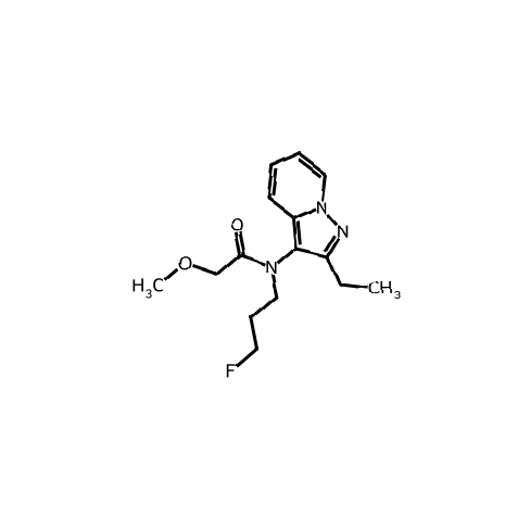 CCc1nn2ccccc2c1N(CCCF)C(=O)COC